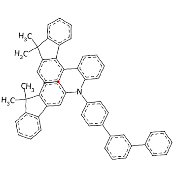 CC1(C)c2ccccc2-c2cc(N(c3ccc(-c4cccc(-c5ccccc5)c4)cc3)c3ccccc3-c3cccc4c3-c3ccccc3C4(C)C)ccc21